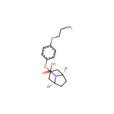 CCCOc1ccc(OC2C[C@H]3CC[C@@H](C2)N3C(=O)O)cc1